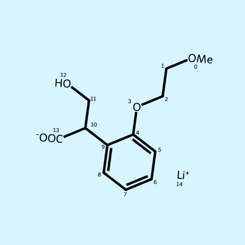 COCCOc1ccccc1C(CO)C(=O)[O-].[Li+]